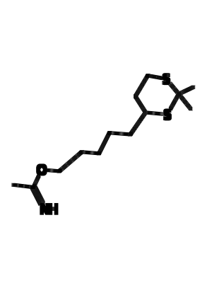 CC(=N)OCCCCCC1CCSC(C)(C)S1